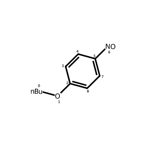 CCCCOc1ccc(N=O)cc1